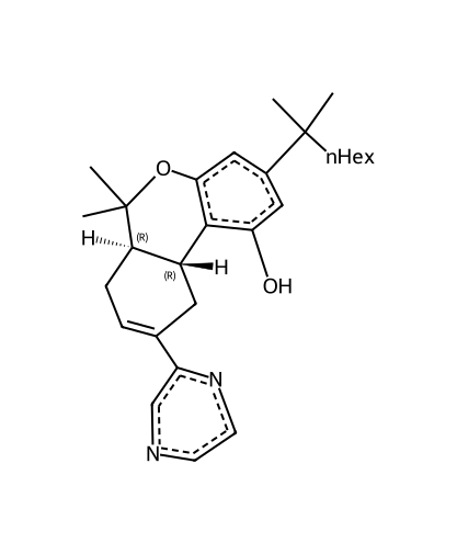 CCCCCCC(C)(C)c1cc(O)c2c(c1)OC(C)(C)[C@@H]1CC=C(c3cnccn3)C[C@@H]21